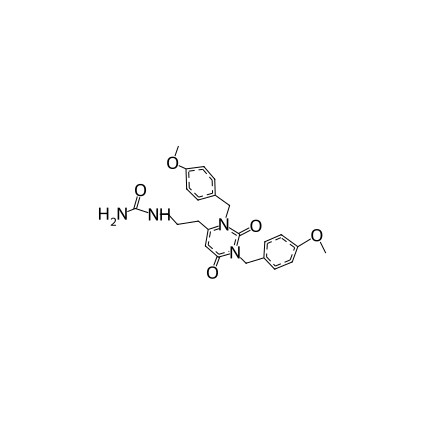 COc1ccc(Cn2c(CCCNC(N)=O)cc(=O)n(Cc3ccc(OC)cc3)c2=O)cc1